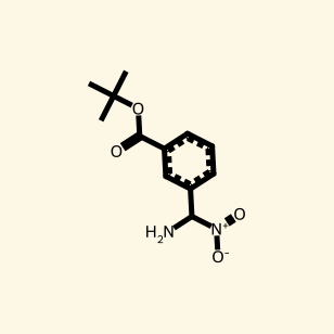 CC(C)(C)OC(=O)c1cccc(C(N)[N+](=O)[O-])c1